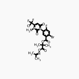 CC(C)=NOC(=O)C(C)(C)OC(=O)c1cc(-n2c(=O)cc(C(F)(F)Cl)n(N)c2=O)c(F)cc1Br